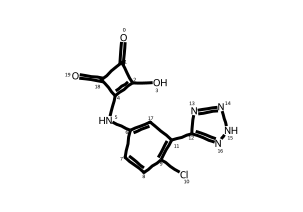 O=c1c(O)c(Nc2ccc(Cl)c(-c3nn[nH]n3)c2)c1=O